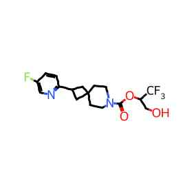 O=C(OC(CO)C(F)(F)F)N1CCC2(CC1)CC(c1ccc(F)cn1)C2